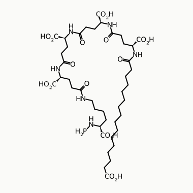 O=C(O)CCCCCCCCCCCCCCC(=O)N[C@@H](CCC(=O)N[C@@H](CCC(=O)N[C@@H](CCC(=O)N[C@@H](CCC(=O)NCCCC[C@H](NP)C(=O)O)C(=O)O)C(=O)O)C(=O)O)C(=O)O